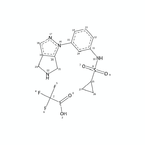 O=C(O)C(F)(F)F.O=S(=O)(Nc1cccc(-n2ncc3c2CNC3)c1)C1CC1